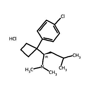 CC(C)C[C@@H](N(C)C)C1(c2ccc(Cl)cc2)CCC1.Cl